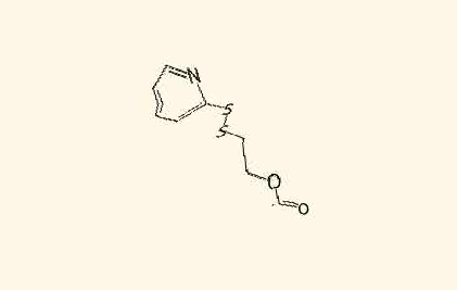 O=[C]OCCSSc1ccccn1